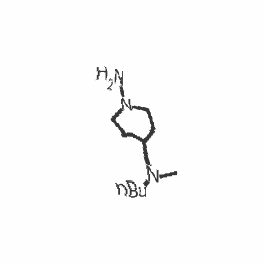 CCCCN(C)C1CCN(N)CC1